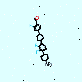 CCCC1CC=C(c2ccc(C3=CCC(c4ccc(C5CO5)c(F)c4)CC3)c(F)c2F)CC1